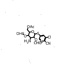 CC(=O)OCC1OC(Sc2cnc(C#N)c(Cl)c2)C(OC=O)C(N)C1OC=O